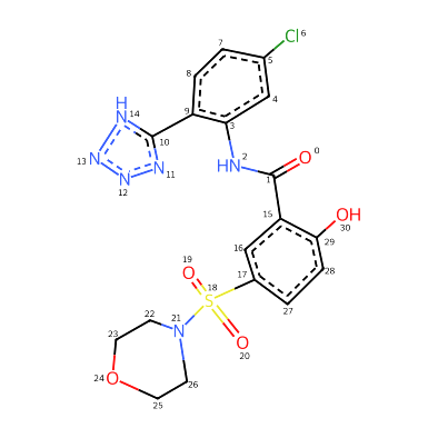 O=C(Nc1cc(Cl)ccc1-c1nnn[nH]1)c1cc(S(=O)(=O)N2CCOCC2)ccc1O